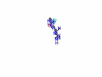 CNC1(c2cc(C(=O)N3CCN([C@H]4C[C@](CC#N)(n5cc(-c6ncnc7[nH]ccc67)cn5)C4)CC3)nc(C(F)(F)F)n2)CCC1